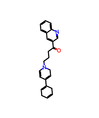 O=C(CCCN1C=CC(C2=CCC=CC2)=CC1)c1cnc2ccccc2c1